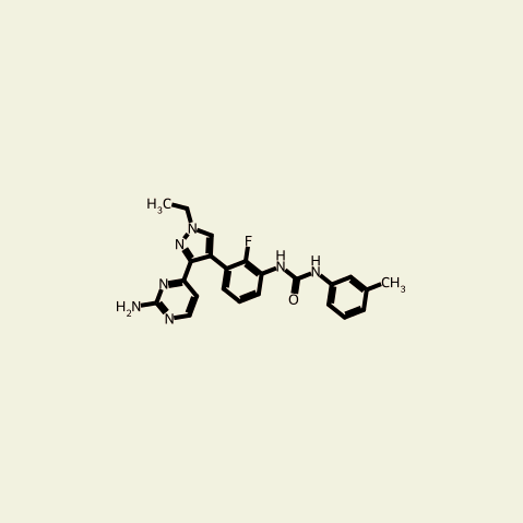 CCn1cc(-c2cccc(NC(=O)Nc3cccc(C)c3)c2F)c(-c2ccnc(N)n2)n1